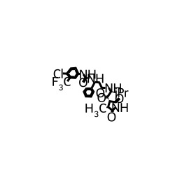 CC(C)[C@H](NC(=O)CC(NC(=O)Nc1ccc(Cl)c(C(F)(F)F)c1)c1ccccc1)C(=O)[C@@H]1C(=O)NC(=O)[C@H]1C